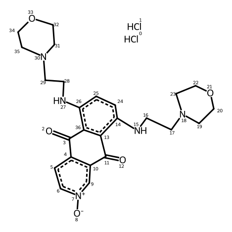 Cl.Cl.O=C1c2cc[n+]([O-])cc2C(=O)c2c(NCCN3CCOCC3)ccc(NCCN3CCOCC3)c21